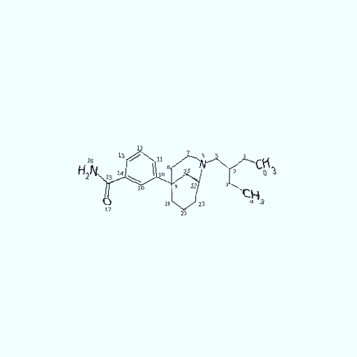 CCC(CC)CN1CCC2(c3cccc(C(N)=O)c3)CCCC1C2